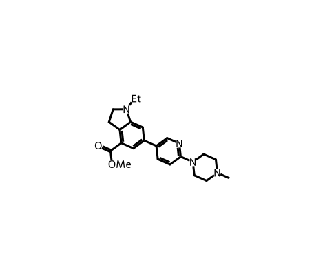 CCN1CCc2c(C(=O)OC)cc(-c3ccc(N4CCN(C)CC4)nc3)cc21